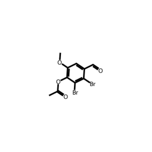 COc1cc(C=O)c(Br)c(Br)c1OC(C)=O